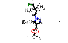 CC(C)COc1c(C2OC(C)O2)cnn1/C=C/C(C)(C)CF